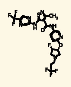 Cc1nsc(Nc2cnc(C(F)(F)F)cn2)c1C(=O)Nc1ccc(O[C@@H]2CN(CCC(F)(F)F)C[C@H]2F)nc1